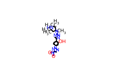 CN(c1ncc(-c2ccc(-n3ncc([N+](=O)[O-])n3)cc2O)nn1)C1CC(C)(C)NC(C)(C)C1